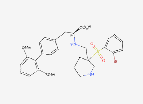 COc1cccc(OC)c1-c1ccc(C[C@H](NCC2(S(=O)(=O)c3ccccc3Br)CCCNC2)C(=O)O)cc1